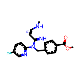 CN/C=C\C(=N)N(Cc1ccc(C(=O)OC)cc1)c1ccc(F)cn1